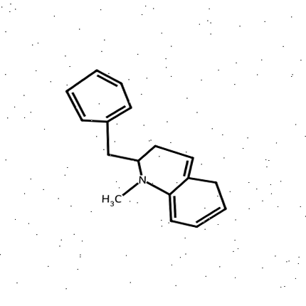 CN1C2=CC=CCC2=CCC1Cc1ccccc1